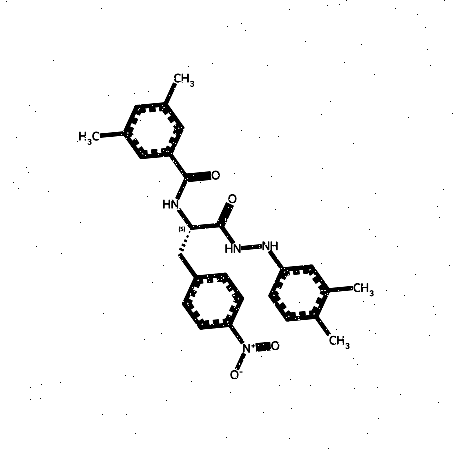 Cc1cc(C)cc(C(=O)N[C@@H](Cc2ccc([N+](=O)[O-])cc2)C(=O)NNc2ccc(C)c(C)c2)c1